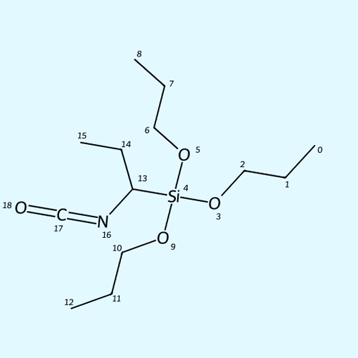 CCCO[Si](OCCC)(OCCC)C(CC)N=C=O